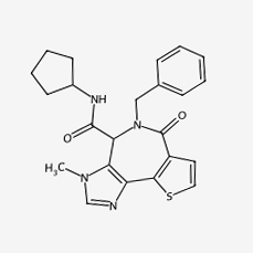 Cn1cnc2c1C(C(=O)NC1CCCC1)N(Cc1ccccc1)C(=O)c1ccsc1-2